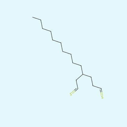 CCCCCCCCCCC(CC=S)CCC=S